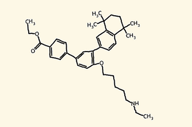 CCNCCCCCOc1ccc(-c2ccc(C(=O)OCC)cc2)cc1-c1ccc2c(c1)C(C)(C)CCC2(C)C